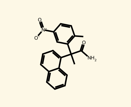 Cc1ccc([N+](=O)[O-])cc1C(C)(C(N)=O)c1cccc2ccccc12